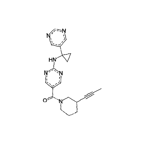 CC#CC1CCCN(C(=O)c2cnc(NC3(c4cncnc4)CC3)nc2)C1